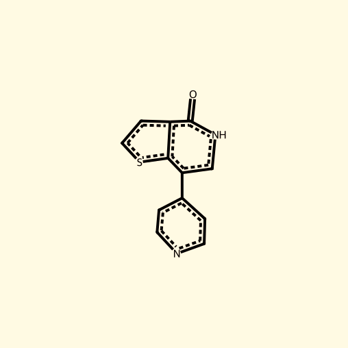 O=c1[nH]cc(-c2ccncc2)c2sccc12